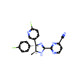 C[C@@H]1NC(c2nccc(C#N)n2)=N[C@]1(c1ccc(F)cc1)c1ccc(F)nc1